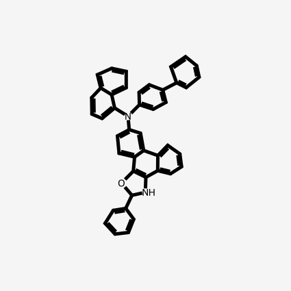 c1ccc(-c2ccc(N(c3ccc4c5c(c6ccccc6c4c3)NC(c3ccccc3)O5)c3cccc4ccccc34)cc2)cc1